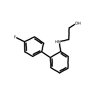 OCCNc1ccccc1-c1ccc(F)cc1